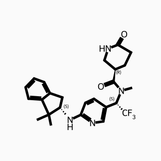 CN(C(=O)[C@@H]1CCC(=O)NC1)[C@@H](c1ccc(N[C@H]2Cc3ccccc3C2(C)C)nc1)C(F)(F)F